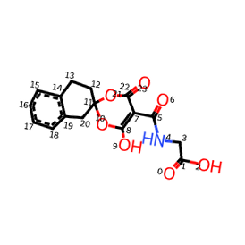 O=C(O)CNC(=O)C1=C(O)OC2(CCc3ccccc3C2)OC1=O